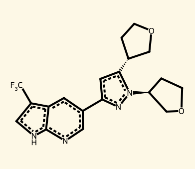 FC(F)(F)c1c[nH]c2ncc(-c3cc([C@@H]4CCOC4)n([C@H]4CCOC4)n3)cc12